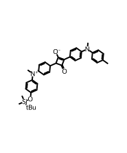 Cc1ccc(N(C)c2ccc(C3=C([O-])C(C4C=CC(=[N+](C)c5ccc(O[Si](C)(C)C(C)(C)C)cc5)C=C4)C3=O)cc2)cc1